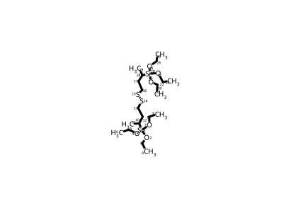 CCO[Si](OCC)(OCC)C(C)CCSSCCC(C)[Si](OCC)(OCC)OCC